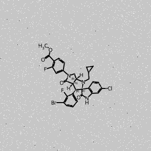 COC(=O)c1ccc(N2C[C@H]3[C@@H](C2=O)[C@H](c2cccc(Br)c2F)[C@]2(C(=O)Nc4cc(Cl)ccc42)N3CC2CC2)cc1F